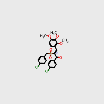 COc1ccc(/C=C(/C(=O)c2ccc(Cl)cc2)S(=O)(=O)Cc2ccc(Cl)cc2)c(OC)c1OC